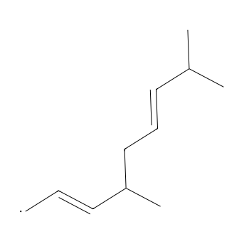 [CH2]/C=C/C(C)C/C=C/C(C)C